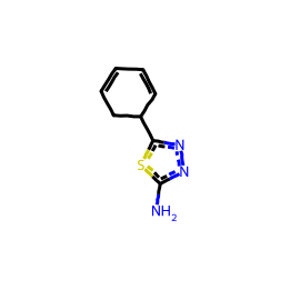 Nc1nnc(C2C=CC=CC2)s1